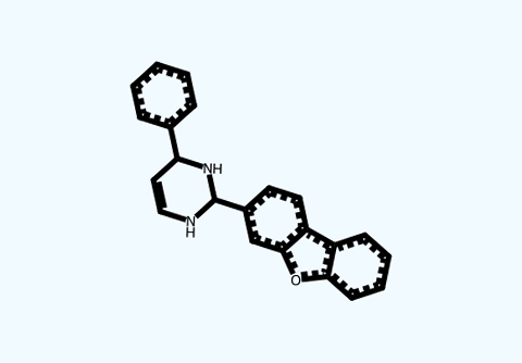 C1=CC(c2ccccc2)NC(c2ccc3c(c2)oc2ccccc23)N1